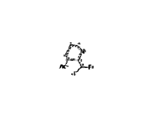 CC(=O)c1cccnc1C(F)F